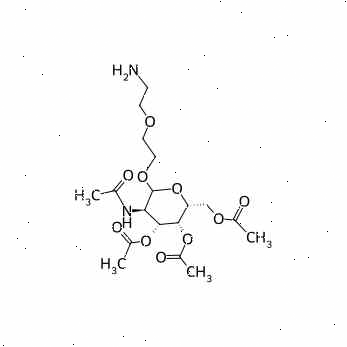 CC(=O)N[C@H]1C(OCCOCCN)O[C@H](COC(C)=O)[C@H](OC(C)=O)[C@@H]1OC(C)=O